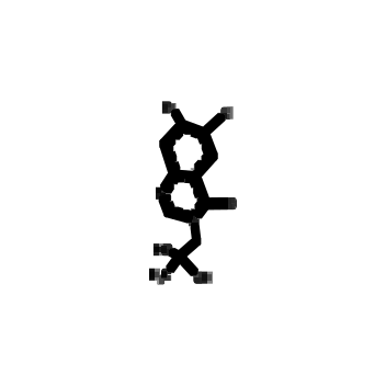 CC(O)(O)Cn1cnc2cc(Br)c(Cl)cc2c1=O